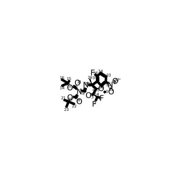 CO[C@H]1[C@@H](C(F)F)OC(N(C(=O)OC(C)(C)C)C(=O)OC(C)(C)C)=N[C@]1(C)c1cc([N+](=O)[O-])ccc1F